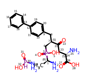 C[C@H](N)P(=O)(O)C[C@@H](Cc1ccc(-c2ccccc2)cc1)C(=O)C[C@H](N)C(=O)O.N[PH](=O)O